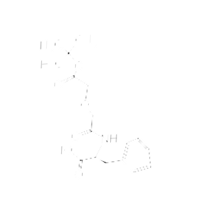 CC(C)(C)OC(=O)COCC(=O)N[C@@H](Cc1ccccc1)C(=O)O